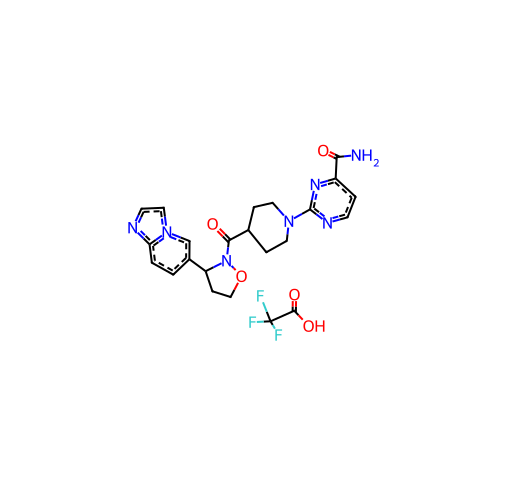 NC(=O)c1ccnc(N2CCC(C(=O)N3OCCC3c3ccc4nccn4c3)CC2)n1.O=C(O)C(F)(F)F